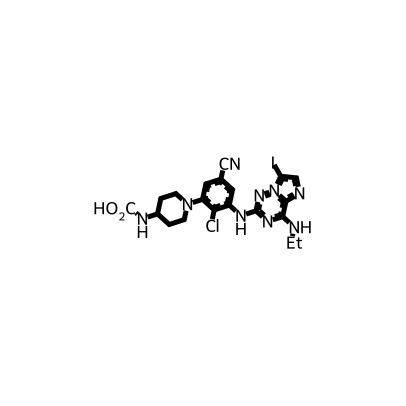 CCNc1nc(Nc2cc(C#N)cc(N3CCC(NC(=O)O)CC3)c2Cl)nn2c(I)cnc12